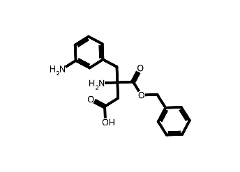 Nc1cccc(CC(N)(CC(=O)O)C(=O)OCc2ccccc2)c1